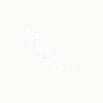 O=CNc1cccc(S(=O)(=O)c2ccc(C=Cc3ccc(F)cc3F)nc2)c1